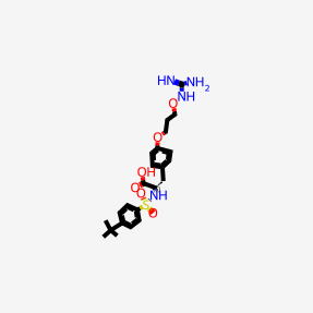 CC(C)(C)c1ccc(S(=O)(=O)N[C@@H](Cc2ccc(OCCCONC(=N)N)cc2)C(=O)O)cc1